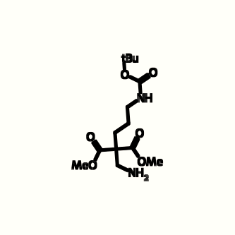 COC(=O)C(CN)(CCCNC(=O)OC(C)(C)C)C(=O)OC